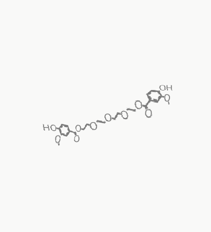 COc1cc(C(=O)OCCOCCOCCOCCOC(=O)c2ccc(O)c(OC)c2)ccc1O